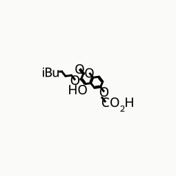 CCC(C)CCCOc1c(O)c2cc(OCC(=O)O)ccc2oc1=O